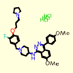 COc1ccc(-c2nnc(NC3CCN(Cc4ccc(OCCCN5CCCC5)c(F)c4)CC3)c3cc(OC)ccc23)cc1.Cl.Cl.Cl